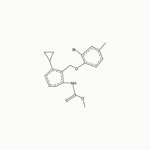 COC(=O)Nc1cccc(C2CC2)c1COc1ccc(C)cc1Br